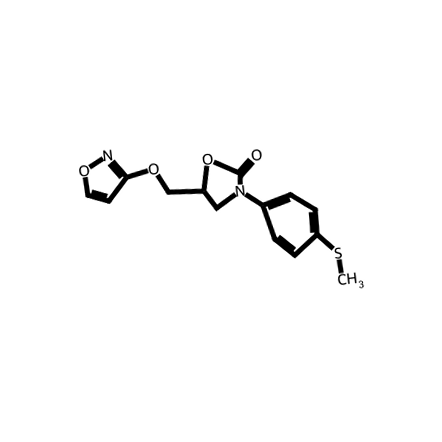 CSc1ccc(N2CC(COc3ccon3)OC2=O)cc1